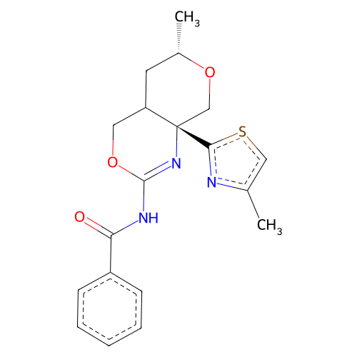 Cc1csc([C@]23CO[C@@H](C)CC2COC(NC(=O)c2ccccc2)=N3)n1